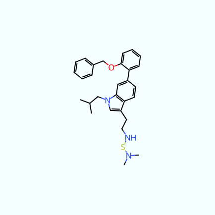 CC(C)Cn1cc(CCNSN(C)C)c2ccc(-c3ccccc3OCc3ccccc3)cc21